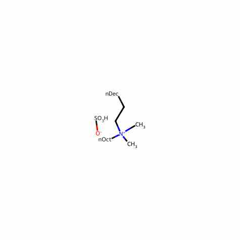 CCCCCCCCCCCC[N+](C)(C)CCCCCCCC.O=S(=O)([O-])O